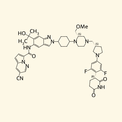 COC[C@@H]1CN(C[C@@H]2CCN(c3cc(F)c([C@H]4CCC(=O)NC4=O)c(F)c3)C2)CCN1C1CCC(n2cc3cc(NC(=O)c4ccc5cc(C#N)cnn45)c(C(C)(C)O)cc3n2)CC1